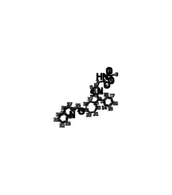 CS(=O)(=O)NC(=O)Cc1csc(C(c2ccccc2)C2CCCC(OCc3ccc4ccccc4n3)CC2)n1